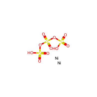 O=S(=O)(O)OS(=O)(=O)OS(=O)(=O)O.[Ni].[Ni]